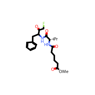 COC(=O)CCCCC(=O)N[C@H](C(=O)NC(Cc1ccccc1)C(=O)CF)C(C)C